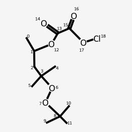 CC(CC(C)(C)OOC(C)(C)C)OC(=O)C(=O)OCl